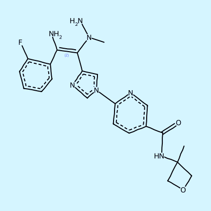 CN(N)/C(=C(\N)c1ccccc1F)c1cn(-c2ccc(C(=O)NC3(C)COC3)cn2)cn1